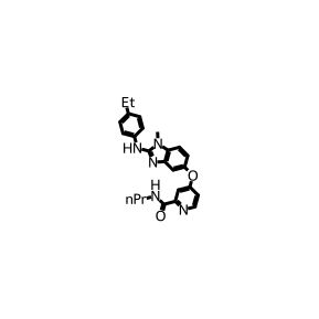 CCCNC(=O)c1cc(Oc2ccc3c(c2)nc(Nc2ccc(CC)cc2)n3C)ccn1